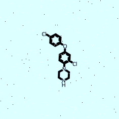 Clc1ccc(Oc2ccc(N3CCNCC3)c(Cl)c2)cc1